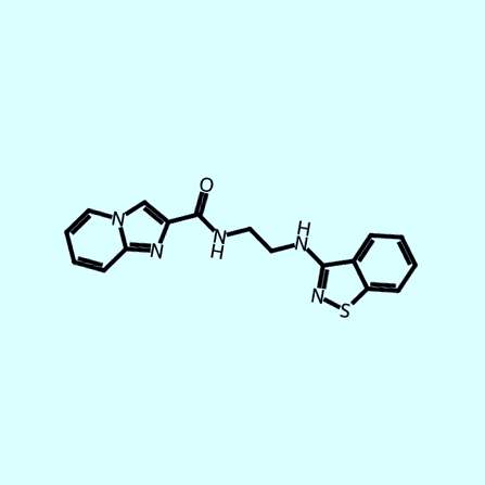 O=C(NCCNc1nsc2ccccc12)c1cn2ccccc2n1